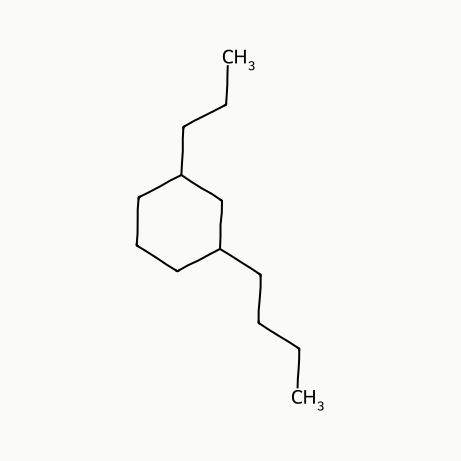 CCCCC1CCCC(CCC)C1